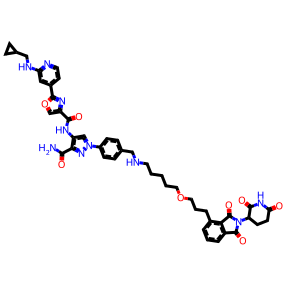 NC(=O)c1nn(-c2ccc(CNCCCCCOCCCc3cccc4c3C(=O)N(C3CCC(=O)NC3=O)C4=O)cc2)cc1NC(=O)c1coc(-c2ccnc(NCC3CC3)c2)n1